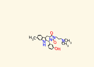 Cc1ccc2c3c([nH]c2c1)C(c1cccc(O)c1)N1C(=O)N(CCCN(C)C)C(=O)C1C3